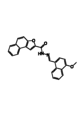 COc1ccc(/C=N/NC(=O)c2cc3c(ccc4ccccc43)o2)c2ccccc12